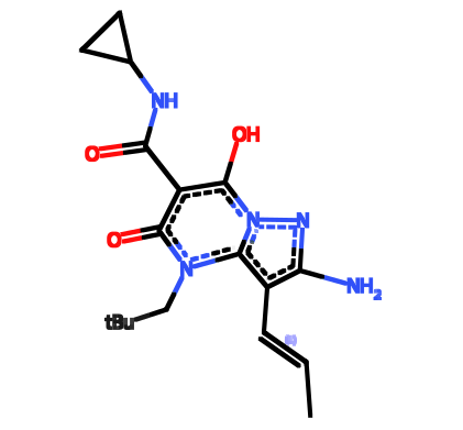 C/C=C/c1c(N)nn2c(O)c(C(=O)NC3CC3)c(=O)n(CC(C)(C)C)c12